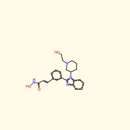 O=C(C=Cc1cccc(-c2nc3ccccc3n2C2CCCN(CCO)C2)c1)NO